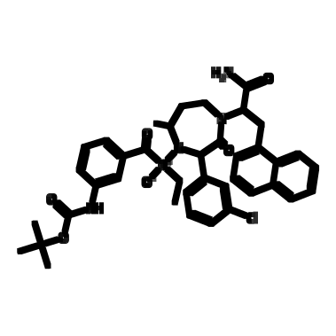 CC[N+]([O-])(C(=O)c1cccc(NC(=O)OC(C)(C)C)c1)N1C(C)CCN(C(Cc2cccc3ccccc23)C(N)=O)C(=O)C1c1cccc(Cl)c1